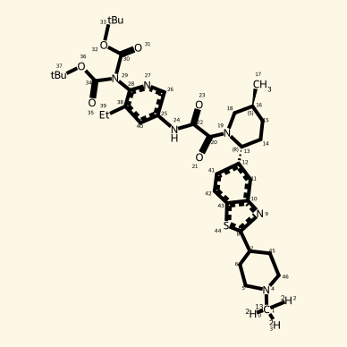 [2H][13C]([2H])([2H])N1CCC(c2nc3cc([C@H]4CC[C@H](C)CN4C(=O)C(=O)Nc4cnc(N(C(=O)OC(C)(C)C)C(=O)OC(C)(C)C)c(CC)c4)ccc3s2)CC1